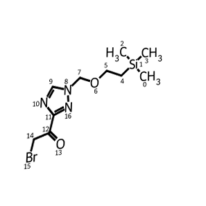 C[Si](C)(C)CCOCn1cnc(C(=O)CBr)n1